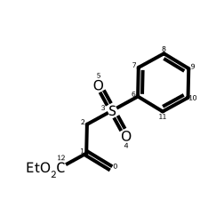 C=C(CS(=O)(=O)c1ccccc1)C(=O)OCC